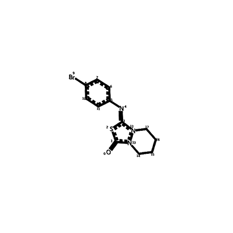 O=c1sc(=Nc2ccc(Br)cc2)n2n1CCCC2